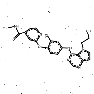 CC(C)(C)NC(=O)c1ccnc(Oc2ccc(Nc3ncnc4ccn(CCO)c34)cc2Cl)c1